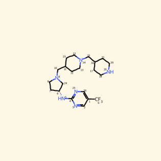 FC(F)(F)c1cnc(N[C@@H]2CCN(CC3CCN(CC4CCNCC4)CC3)C2)nc1